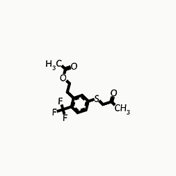 CC(=O)CSc1ccc(C(F)(F)F)c(CCOC(C)=O)c1